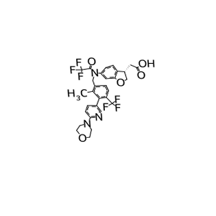 Cc1c(CN(C(=O)C(F)(F)F)c2ccc3c(c2)OC[C@H]3CC(=O)O)ccc(C(F)(F)F)c1-c1ccc(N2CCOCC2)nc1